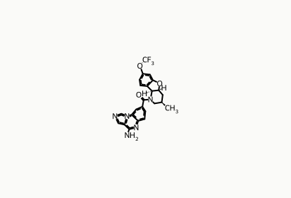 C[C@@H]1C[C@@H]2Oc3cc(OC(F)(F)F)ccc3[C@@H]2N(C(=O)c2ccc3nc(N)c4cncn4c3c2)C1